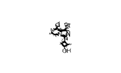 O[C@H]1C[C@@H](c2nc(Br)c3c(Cl)nccn32)C1